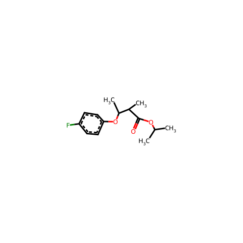 CC(C)OC(=O)C(C)C(C)Oc1ccc(F)cc1